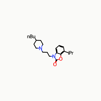 CCCCC1CCN(CCCn2c(=O)oc3c(C(C)C)cccc32)CC1